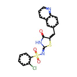 O=C1NC(=NS(=O)(=O)c2ccccc2Cl)SC1=Cc1ccc2ncccc2c1